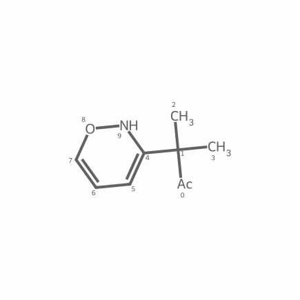 CC(=O)C(C)(C)C1=CC=CON1